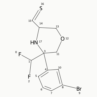 FC(F)C1(c2cccc(Br)c2)COCC(C=S)N1